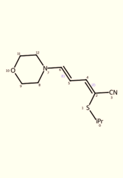 CC(C)S/C(C#N)=C\C=C\N1CCOCC1